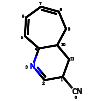 N#CC1C=NC2C=CC=CCC2C1